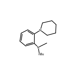 CCCCN(C)c1ccccc1N1CCCCC1